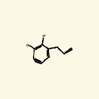 C=CCc1cccc(Br)c1Br